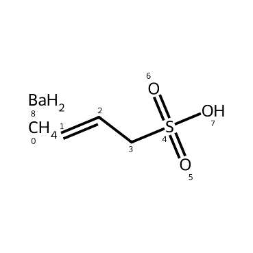 C.C=CCS(=O)(=O)O.[BaH2]